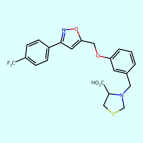 O=C(O)C1CSCN1Cc1cccc(OCc2cc(-c3ccc(C(F)(F)F)cc3)no2)c1